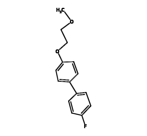 COCCOc1ccc(-c2ccc(F)cc2)cc1